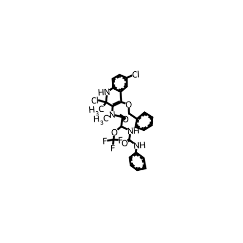 CN(C(=O)C(NC(=O)Nc1ccccc1)OC(F)(F)F)C1=C(OCc2ccccc2)c2cc(Cl)ccc2NC1(C)Cl